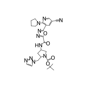 CC(C)(C)OC(=O)N1CC(NC(=O)c2nnc(-c3cc(C#N)cnc3N3CCCC3)o2)CC1Cn1ccnn1